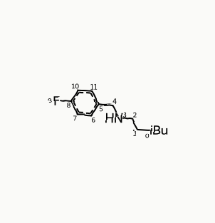 CCC(C)[CH]CNCc1ccc(F)cc1